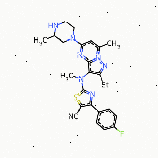 CCc1nn2c(C)cc(N3CCNC(C)C3)nc2c1N(C)c1nc(-c2ccc(F)cc2)c(C#N)s1